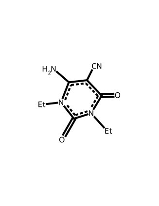 CCn1c(N)c(C#N)c(=O)n(CC)c1=O